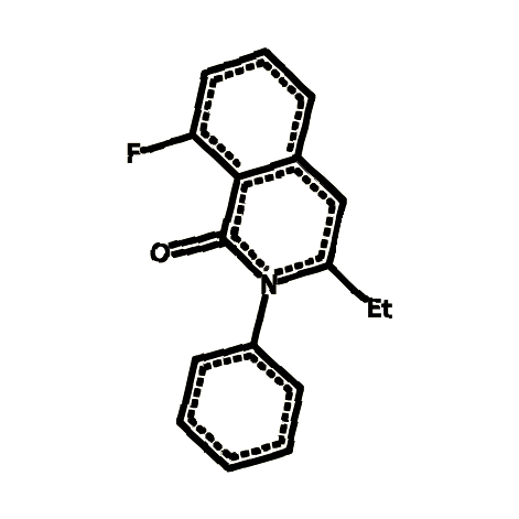 CCc1cc2cccc(F)c2c(=O)n1-c1ccccc1